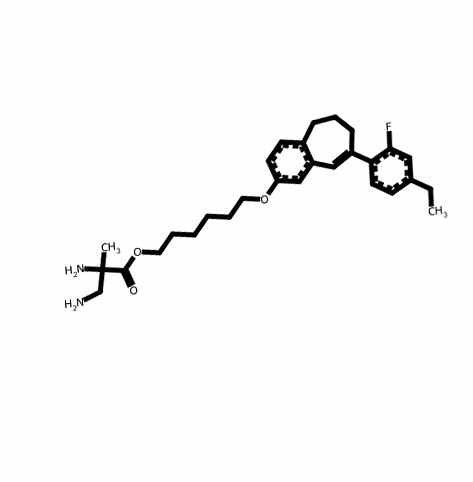 CCc1ccc(C2=Cc3cc(OCCCCCCOC(=O)C(C)(N)CN)ccc3CCC2)c(F)c1